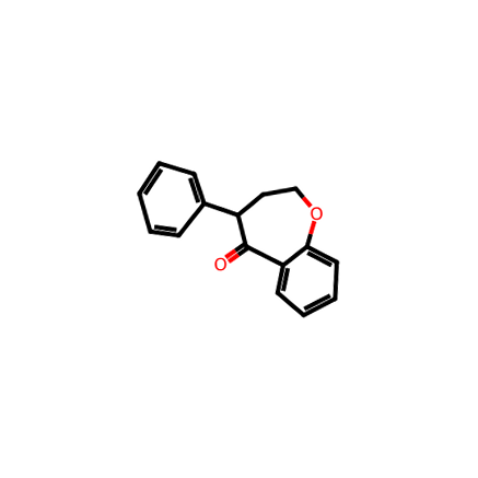 O=C1c2ccccc2OCCC1c1ccccc1